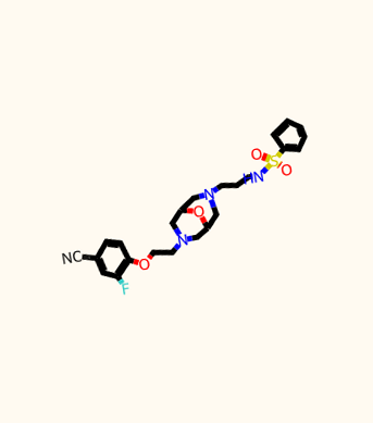 N#Cc1ccc(OCCN2CC3CN(CCCNS(=O)(=O)c4ccccc4)CC(C2)O3)c(F)c1